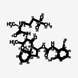 CC(C)[C@H](NC(=O)[C@H](C)NCCS(C)(=O)=O)C(=O)N1c2ncccc2C[C@@H]1OC(=O)Nc1c(F)cccc1F